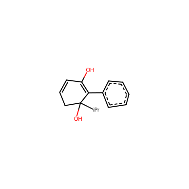 CC(C)C1(O)CC=CC(O)=C1c1ccccc1